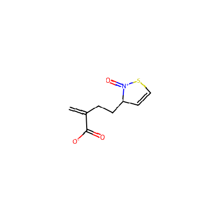 C=C(CCC1C=CS[N+]1=O)C(=O)[O-]